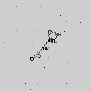 Br.N[N+]1(CCCCCCCCCCNC(=O)OCc2ccccc2)CCCCNCCN2CCCN(CC1)C2